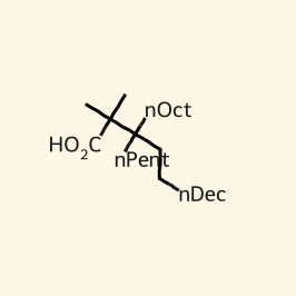 CCCCCCCCCCCCC(CCCCC)(CCCCCCCC)C(C)(C)C(=O)O